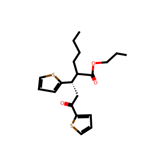 CCCCC(C(=O)OCCC)[C@H](CC(=O)c1cccs1)c1cccs1